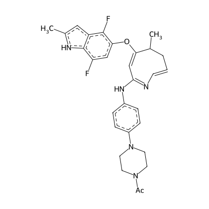 CC(=O)N1CCN(c2ccc(NC3=N/C=C/CC(C)/C(Oc4cc(F)c5[nH]c(C)cc5c4F)=C\3)cc2)CC1